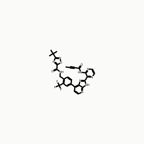 CC#CC(=O)Nc1nccnc1-c1nc2c(-c3ccc(CNC(=O)c4nc(C(C)(C)C)no4)c(C(F)(F)F)c3)ccnc2[nH]1